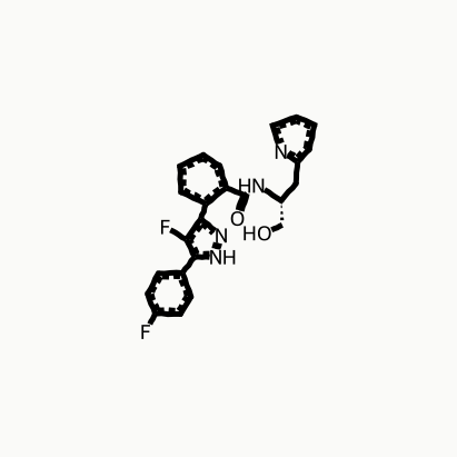 O=C(N[C@@H](CO)Cc1ccccn1)c1ccccc1-c1n[nH]c(-c2ccc(F)cc2)c1F